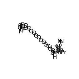 CCCN(OCCNC(=O)OCCOCCOCCOCCOCCOCCOCCOCCOCCOCCOCCC(=O)Oc1c(F)c(F)c([SH](=O)=O)c(F)c1F)C(=O)C1=Cc2ccc(-c3cncnc3)cc2N=C(N)C1